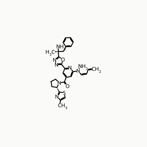 C=C/C=C\N(N)c1cc(C(=O)N2CCC[C@@H]2c2nc(C)cs2)cc(-c2nnc([C@](C)(N)Cc3ccccc3)o2)n1